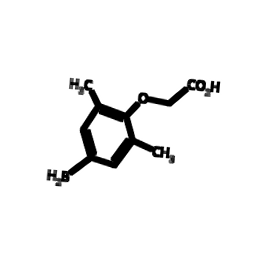 Bc1cc(C)c(OCC(=O)O)c(C)c1